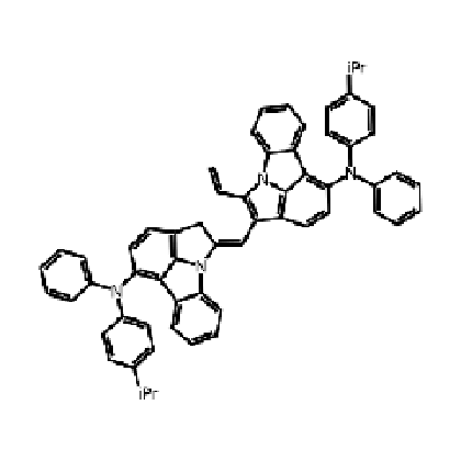 C=Cc1c(/C=C2\Cc3ccc(N(c4ccccc4)c4ccc(C(C)C)cc4)c4c5ccccc5n2c34)c2ccc(N(c3ccccc3)c3ccc(C(C)C)cc3)c3c4ccccc4n1c23